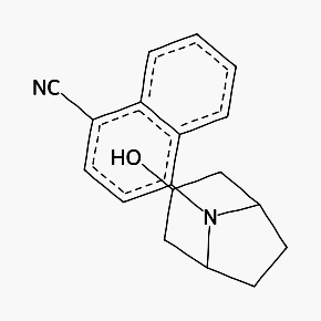 N#Cc1ccc(N2C3CCC2CC(O)C3)c2ccccc12